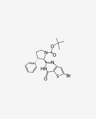 CC(C)(C)OC(=O)N1CC[C@@H](c2ccccc2)[C@@H]1c1nc2cc(Br)sc2c(=O)[nH]1